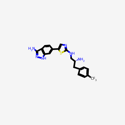 Nc1n[nH]c2cc(-c3cnc(NC[C@H](N)Cc4ccc(C(F)(F)F)cc4)s3)ccc12